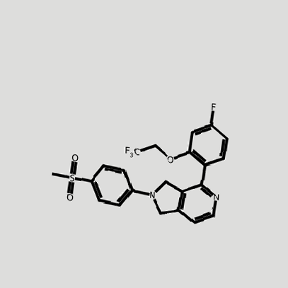 CS(=O)(=O)c1ccc(N2Cc3ccnc(-c4ccc(F)cc4OCC(F)(F)F)c3C2)cc1